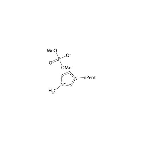 CCCCCn1cc[n+](C)c1.COP(=O)([O-])OC